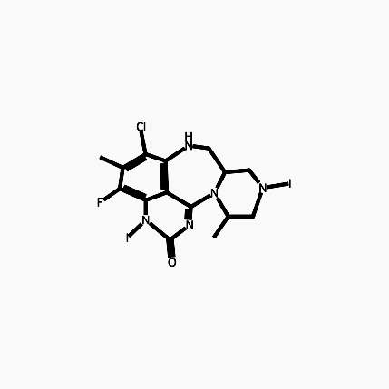 Cc1c(Cl)c2c3c(nc(=O)n(I)c3c1F)N1C(C)CN(I)CC1CN2